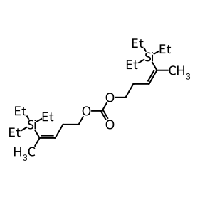 CC[Si](CC)(CC)/C(C)=C\CCOC(=O)OCC/C=C(/C)[Si](CC)(CC)CC